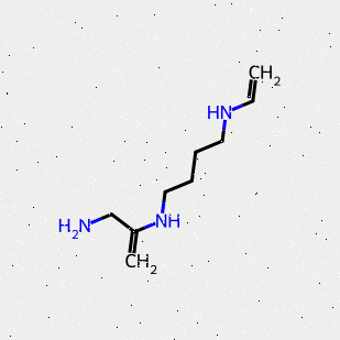 C=CNCCCCNC(=C)CN